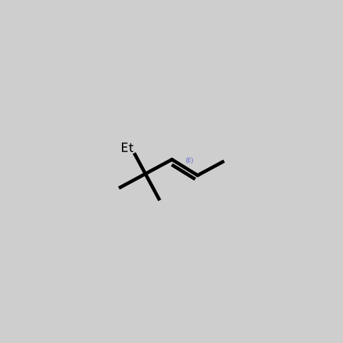 [CH2]CC(C)(C)/C=C/C